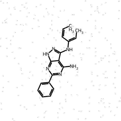 C/C=C\C(=C/C)Nc1n[nH]c2nc(-c3ccccc3)nc(N)c12